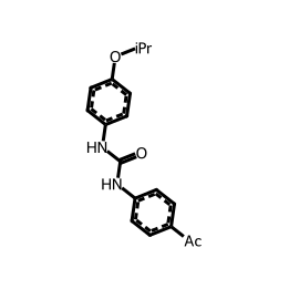 CC(=O)c1ccc(NC(=O)Nc2ccc(OC(C)C)cc2)cc1